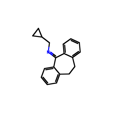 c1ccc2c(c1)CCc1ccccc1C2=NCC1CC1